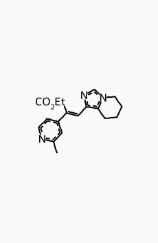 CCOC(=O)/C(=C\c1ncn2c1CCCC2)c1ccnc(C)c1